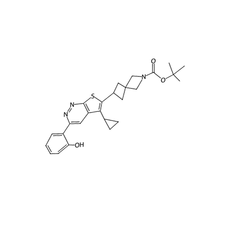 CC(C)(C)OC(=O)N1CC2(CC(c3sc4nnc(-c5ccccc5O)cc4c3C3CC3)C2)C1